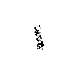 CCN1CC(F)(CN2CCN(CC3(CC(C)C)CC3)CC2)C1